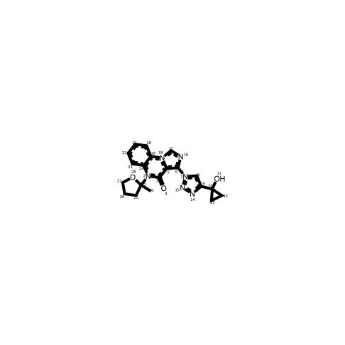 CC1(n2c(=O)c3c(-n4cc(C5(O)CC5)nn4)ncn3c3ccccc32)CCCO1